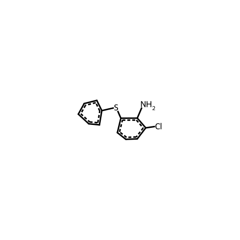 Nc1c(Cl)cccc1Sc1ccccc1